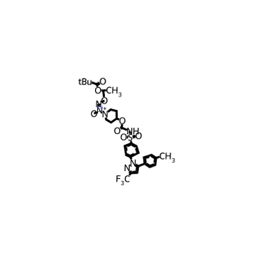 Cc1ccc(-c2cc(C(F)(F)F)nn2-c2ccc(S(=O)(=O)NC(=O)OC3CCN(/[N+]([O-])=N\OC(C)OC(=O)C(C)(C)C)CC3)cc2)cc1